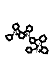 c1ccc(-c2cc(-n3c4ccccc4c4c5c6ccccc6n(-c6ccccc6)c5ccc43)ccc2-c2nc3ccccc3nc2-c2ccccc2)cc1